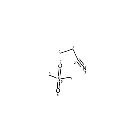 CCC#N.CS(C)(=O)=O